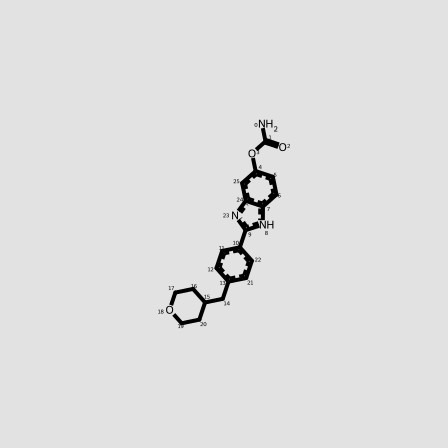 NC(=O)Oc1ccc2[nH]c(-c3ccc(CC4CCOCC4)cc3)nc2c1